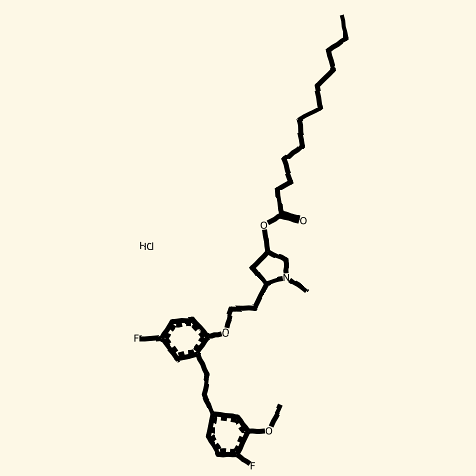 CCCCCCCCCCCC(=O)OC1CC(CCOc2ccc(F)cc2CCc2ccc(F)c(OC)c2)N(C)C1.Cl